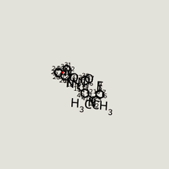 CN(C)C(c1cccc(F)c1)C1CCC(CC(c2nc(Cc3ccccc3)c(N3CCCC3)o2)N2CCOCC2)CC1